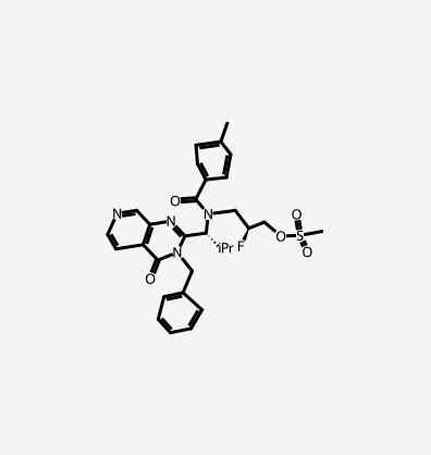 Cc1ccc(C(=O)N(C[C@H](F)COS(C)(=O)=O)[C@@H](c2nc3cnccc3c(=O)n2Cc2ccccc2)C(C)C)cc1